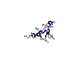 C=C[C@@H]1[C@@H](C)C[C@@H](C(=O)Nc2nc(Br)ccc2C)N1C(=O)Cn1nc(C(C)=O)c2cc(-c3cnc(C)nc3)cc(COC(C)=O)c21